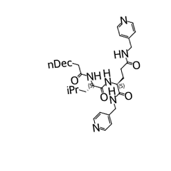 CCCCCCCCCCCC(=O)N[C@@H](CC(C)C)C(=O)N[C@@H](CCC(=O)NCc1ccncc1)C(=O)NCc1ccncc1